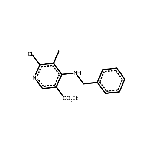 CCOC(=O)c1cnc(Cl)c(C)c1NCc1ccccc1